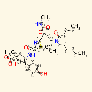 CCCCCCN(C(=O)CCCC)C(C[C@@H](OC(=O)NC)c1nc(C(=O)N[C@@H](Cc2ccc(O)cc2)CC(C)(C)C(=O)O)cs1)C(C)C